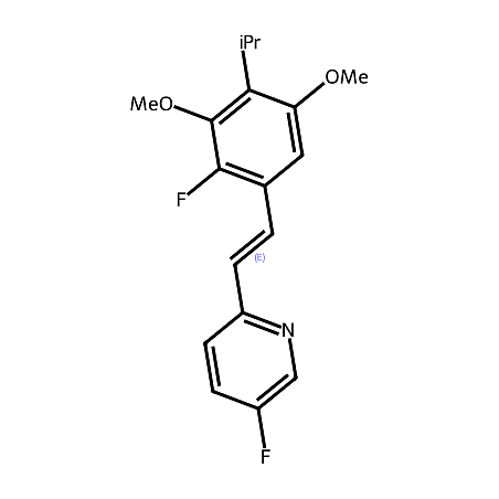 COc1cc(/C=C/c2ccc(F)cn2)c(F)c(OC)c1C(C)C